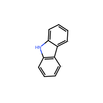 [c]1cccc2[nH]c3ccc[c]c3c12